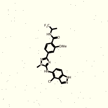 COc1cc(-c2nc(Nc3ccc4[nH]ncc4c3Cl)n(C)n2)ccc1C(=O)NC(C)C(F)(F)F